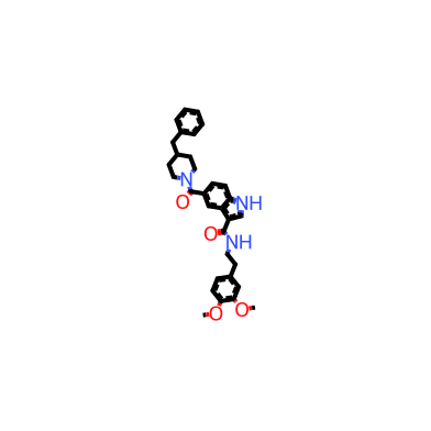 COc1ccc(CCNC(=O)c2c[nH]c3ccc(C(=O)N4CCC(Cc5ccccc5)CC4)cc23)cc1OC